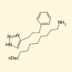 CCCCCCCCCCCCCCCCCCN.c1ccc(CCCc2c[nH]nn2)cc1